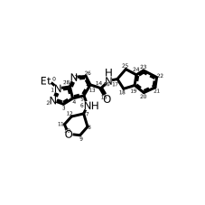 CCn1ncc2c(NC3CCOCC3)c(C(=O)NC3Cc4ccccc4C3)cnc21